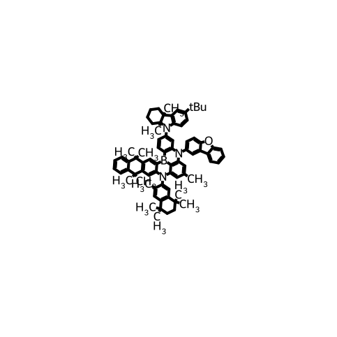 Cc1cc2c3c(c1)N(c1cc4c(cc1C)C(C)(C)CCC4(C)C)c1cc4c(cc1B3c1ccc(N3c5ccc(C(C)(C)C)cc5C5(C)CCCCC35C)cc1N2c1ccc2oc3ccccc3c2c1)C(C)(C)c1ccccc1C4(C)C